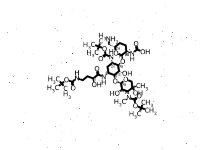 CN(C(=O)OC(C)(C)C)[C@@H]1[C@@H](O)[C@@H](O[C@@H]2[C@@H](O)[C@H](O[C@H]3O[C@H](CN)CC[C@H]3NC(=O)O)[C@@H](NC(=O)OC(C)(C)C)C[C@H]2NC(=O)[C@@H](O)CCNC(=O)OC(C)(C)C)OC[C@]1(C)O